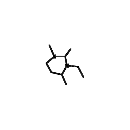 CCN1C(C)CCN(C)C1C